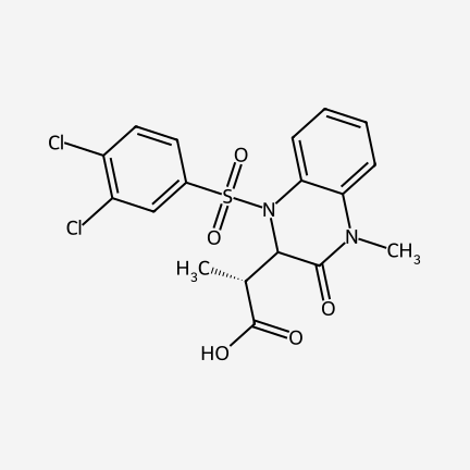 C[C@@H](C(=O)O)C1C(=O)N(C)c2ccccc2N1S(=O)(=O)c1ccc(Cl)c(Cl)c1